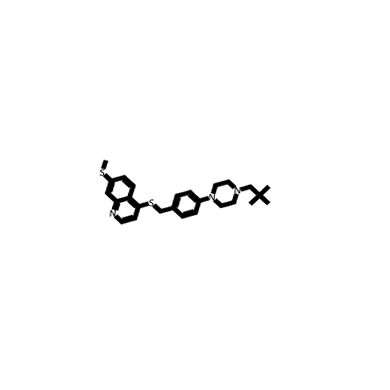 CSc1ccc2c(SCc3ccc(N4CCN(CC(C)(C)C)CC4)cc3)ccnc2c1